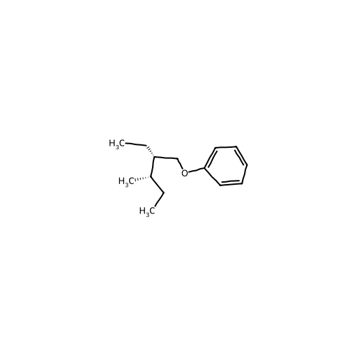 CC[C@H](COc1ccccc1)[C@@H](C)CC